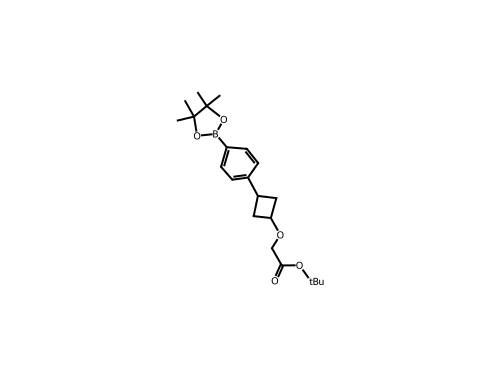 CC(C)(C)OC(=O)COC1CC(c2ccc(B3OC(C)(C)C(C)(C)O3)cc2)C1